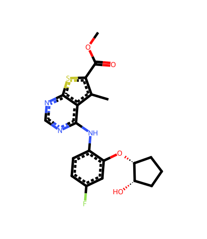 COC(=O)c1sc2ncnc(Nc3ccc(F)cc3O[C@@H]3CCC[C@@H]3O)c2c1C